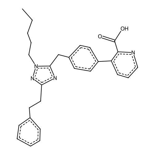 CCCCCn1nc(CCc2ccccc2)nc1Cc1ccc(-c2cccnc2C(=O)O)cc1